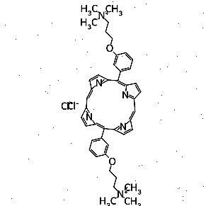 C[N+](C)(C)CCCOc1cccc(C2=C3C=CC(=N3)C=C3C=CC(=N3)C(c3cccc(OCCC[N+](C)(C)C)c3)=C3C=CC(=N3)C=C3C=CC2=N3)c1.[Cl-].[Cl-]